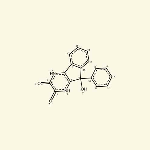 O=c1[nH]c2c([nH]c1=O)C(O)(c1ccccc1)c1ccccc1-2